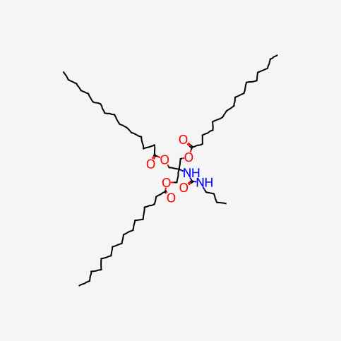 CCCCCCCCCCCCCCCC(=O)OCC(COC(=O)CCCCCCCCCCCCCCC)(COC(=O)CCCCCCCCCCCCCCC)NC(=O)NCCCC